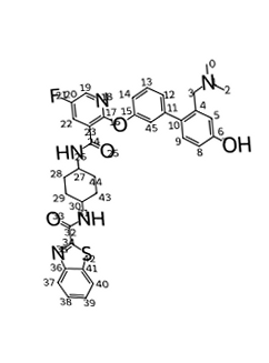 CN(C)Cc1cc(O)ccc1-c1cccc(Oc2ncc(F)cc2C(=O)NC2CCC(NC(=O)c3nc4ccccc4s3)CC2)c1